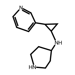 c1cncc(C2CC2NC2CCNCC2)c1